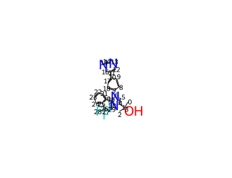 CC(C)(O)c1cn(-c2ccc(-c3cncnc3)cc2)c(-c2ccccc2C(F)(F)F)n1